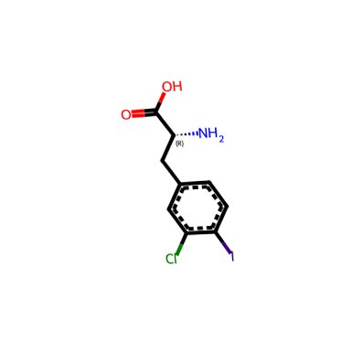 N[C@H](Cc1ccc(I)c(Cl)c1)C(=O)O